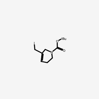 CC(C)(C)OC(=O)N1CCC=C(CI)C1